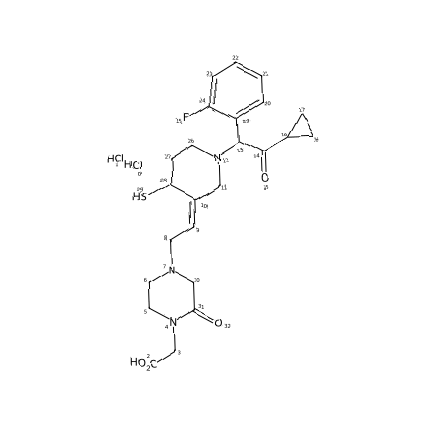 Cl.Cl.O=C(O)CN1CCN(CC=C2CN(C(C(=O)C3CC3)c3ccccc3F)CCC2S)CC1=O